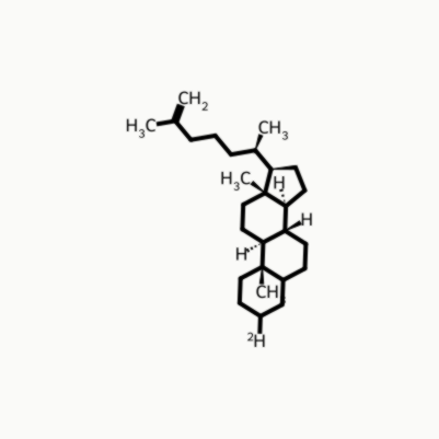 [2H]C1CC[C@@]2(C)C(CC[C@H]3[C@@H]4CC[C@H]([C@H](C)CCCC(=C)C)[C@@]4(C)CC[C@@H]32)C1